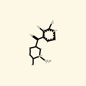 CC1CCC(C(=O)c2ccnc(Cl)c2F)CN1C(=O)O